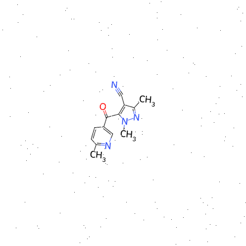 Cc1ccc(C(=O)c2c(C#N)c(C)nn2C)cn1